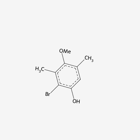 COc1c(C)cc(O)c(Br)c1C